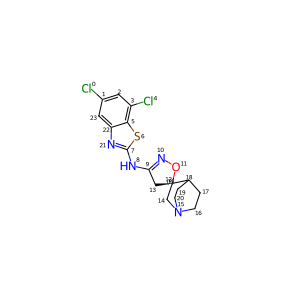 Clc1cc(Cl)c2sc(NC3=NO[C@@]4(C3)CN3CCC4CC3)nc2c1